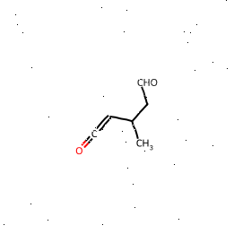 CC(C=C=O)CC=O